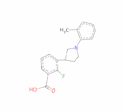 Cc1ccccc1N1CCC(c2cccc(C(=O)O)c2F)C1